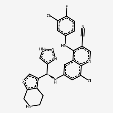 N#Cc1cnc2c(Cl)cc(N[C@H](c3c[nH]nn3)c3csc4c3CCNC4)cc2c1Nc1ccc(F)c(Cl)c1